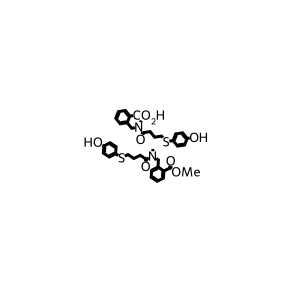 CN(Cc1ccccc1C(=O)O)C(=O)CCCSc1ccc(O)cc1.COC(=O)c1ccccc1CN(C)C(=O)CCCSc1ccc(O)cc1